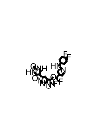 Cn1nc(O[C@H](c2ccnc(NC3CCC(F)(F)CC3)c2)C(F)F)c2cc(-c3c[nH]c(=O)[nH]c3=O)nnc21